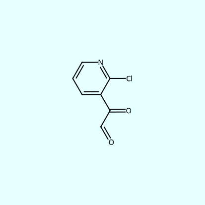 O=CC(=O)c1cccnc1Cl